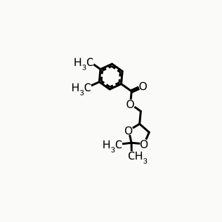 Cc1ccc(C(=O)OCC2COC(C)(C)O2)cc1C